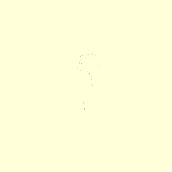 O=COCn1cncn1